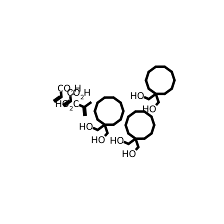 C=C(C)C(=O)O.C=CC(=O)O.C=CC(=O)O.OCC1(CO)CCCCCCCCC1.OCC1(CO)CCCCCCCCC1.OCC1(CO)CCCCCCCCC1